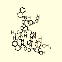 C#CC[C@H](NC(=O)[C@H](C)NC)C(=O)N1C[C@@H](n2cc(C[C@H](NC(=O)[C@H](C)NC)C(=O)N3C[C@@H](N=[N+]=[N-])C[C@H]3C(=O)N[C@@H]3CCCc4ccccc43)nn2)C[C@H]1C(=O)N[C@@H]1CCCc2ccccc21